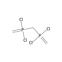 C=P(Cl)(Cl)CP(=C)(Cl)Cl